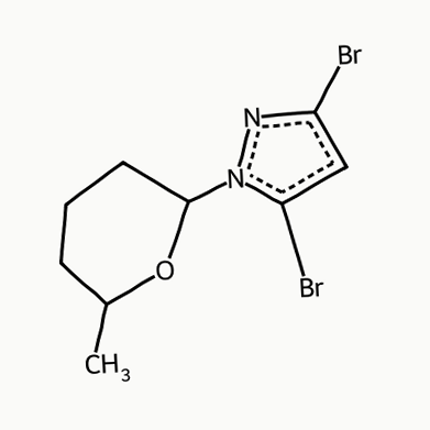 CC1CCCC(n2nc(Br)cc2Br)O1